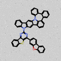 c1ccc2c(c1)-c1ccccc1-n1c3cc4c5ccccc5n(-c5nc(-c6ccc7c(c6)oc6ccccc67)c6sc7ccccc7c6n5)c4cc3c3cccc-2c31